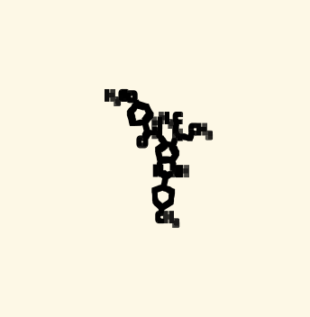 CCN(CC)c1cc2[nH]c(C3CCC(C)CC3)nc2cc1NC(=O)c1ccc(OC)cc1